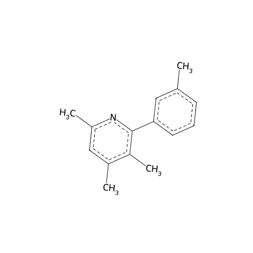 Cc1cccc(-c2nc(C)cc(C)c2C)c1